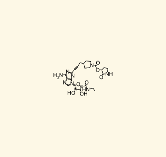 CCNC(=O)[C@H]1O[C@@H](n2cnc3c(N)nc(C#CCC4CCN(C(=O)OC5CCNC5=O)CC4)nc32)[C@@H](O)C1O